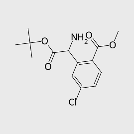 COC(=O)c1ccc(Cl)cc1C(N)C(=O)OC(C)(C)C